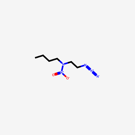 CCCCN(CCN=[N+]=[N-])[N+](=O)[O-]